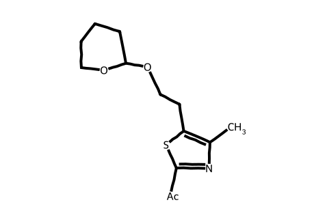 CC(=O)c1nc(C)c(CCOC2CCCCO2)s1